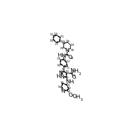 COc1cc(Nc2[nH]nc(-c3ccc(NC(=O)N4CCC[C@@H](c5ccccc5)C4)cc3)c2C(N)=O)ccn1